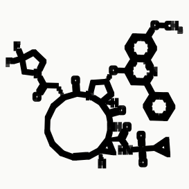 COc1ccc2c(O[C@@H]3C[C@H]4C(=O)N[C@]5(C(=O)NS(=O)(=O)C6CC6)C[C@H]5C=CCCCCC[C@H](CC(=O)N5CCC(F)(F)C5)C(=O)N4C3)cc(-c3ccccc3)nc2c1